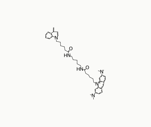 C=C1C=CN(CCCCCC(=O)NCCCCCNC(=O)CCCCC[n+]2c3cc(N(C)C)ccc3cc3ccc(N(C)C)cc32)c2ccccc21